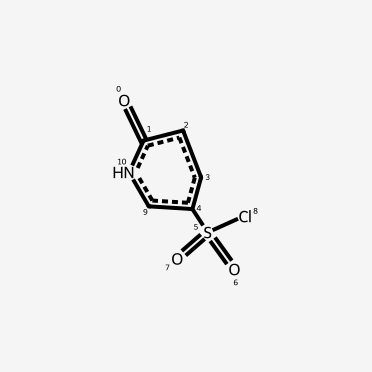 O=c1ccc(S(=O)(=O)Cl)c[nH]1